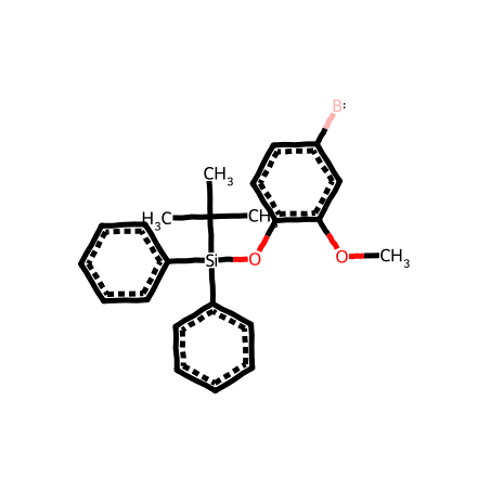 [B]c1ccc(O[Si](c2ccccc2)(c2ccccc2)C(C)(C)C)c(OC)c1